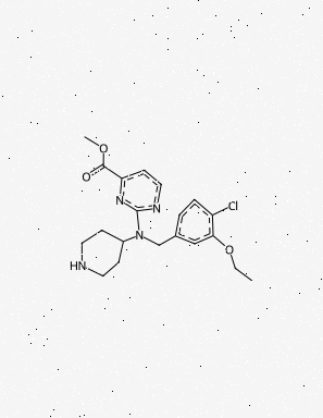 CCOc1cc(CN(c2nccc(C(=O)OC)n2)C2CCNCC2)ccc1Cl